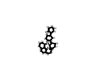 c1cnc2c(c1)ccc1cccc(-n3c4ccccc4c4cc5c(cc43)sc3ccccc35)c12